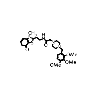 COc1ccc(CN2CCN(CC(=O)NCCC3SC4=C(C=CCC4=O)N3C)CC2)c(OC)c1OC